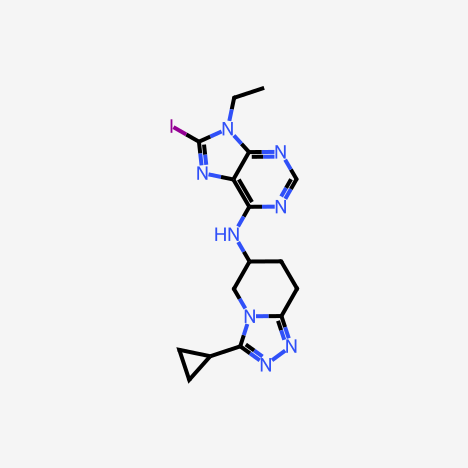 CCn1c(I)nc2c(NC3CCc4nnc(C5CC5)n4C3)ncnc21